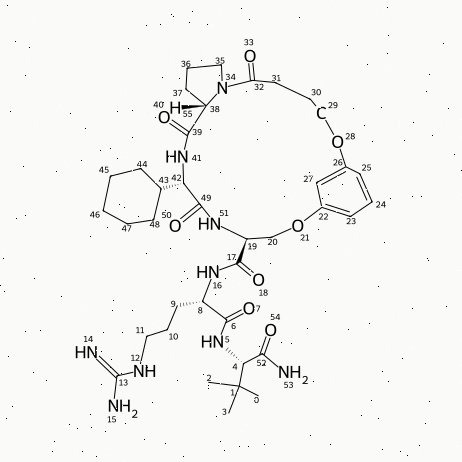 CC(C)(C)[C@H](NC(=O)[C@H](CCCNC(=N)N)NC(=O)[C@@H]1COc2cccc(c2)OCCCC(=O)N2CCC[C@H]2C(=O)N[C@@H](C2CCCCC2)C(=O)N1)C(N)=O